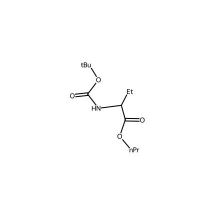 CCCOC(=O)C(CC)NC(=O)OC(C)(C)C